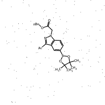 CCCCOC(=O)Cn1nc(C(C)=O)c2cc(B3OC(C)(C)C(C)(C)O3)ccc21